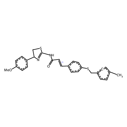 COc1ccc(C2CSC(NC(=O)/C=C/c3ccc(SCc4ccc(C)cc4)cc3)=N2)cc1